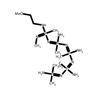 CN=P(C)(N=P(C)(N)N=P(C)(N)N=P(C)(N)N=P(C)(C)N)NCCOC